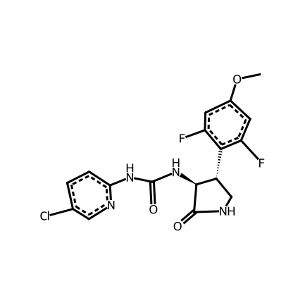 COc1cc(F)c([C@@H]2CNC(=O)[C@H]2NC(=O)Nc2ccc(Cl)cn2)c(F)c1